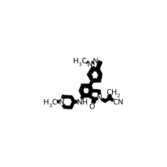 C=C(C#N)CN1Cc2c(-c3ccc4cnn(C)c4c3)ccc(NC3CCN(C)CC3)c2C1=O